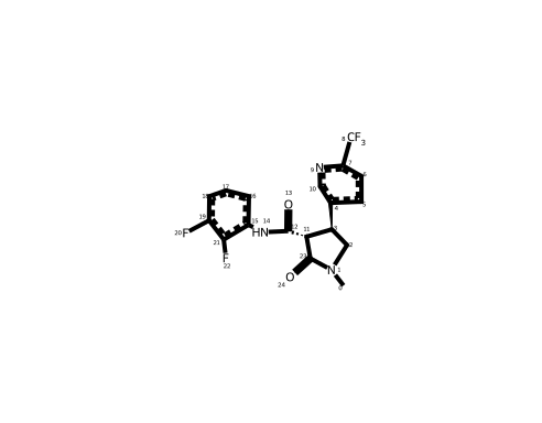 CN1C[C@H](c2ccc(C(F)(F)F)nc2)[C@@H](C(=O)Nc2cccc(F)c2F)C1=O